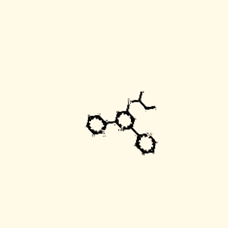 CCC(C)Oc1cc(-c2ccccn2)nc(-c2ccccn2)c1